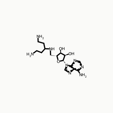 NCCC(CCN)NC[C@H]1O[C@@H](n2cnc3c(N)ncnc32)[C@H](O)[C@@H]1O